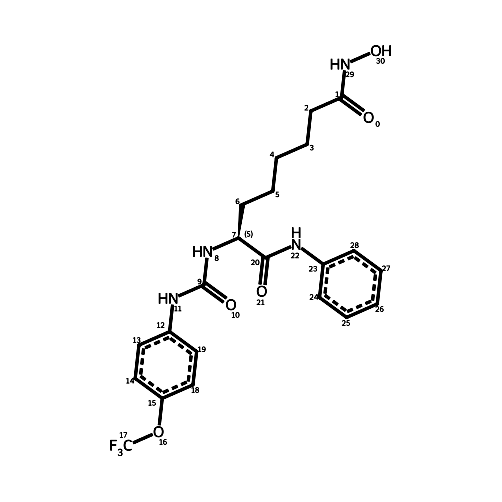 O=C(CCCCC[C@H](NC(=O)Nc1ccc(OC(F)(F)F)cc1)C(=O)Nc1ccccc1)NO